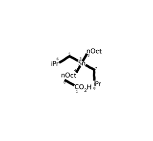 CC(=O)O.CCCCCCC[CH2][Sn]([CH2]CCCCCCC)([CH2]C(C)C)[CH2]C(C)C